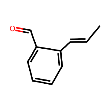 C/C=C/c1ccccc1C=O